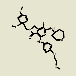 COCCOc1ccc(Nc2nc(NC3CCCNCC3)c(F)c3c2C(=O)N(Cc2ccc(OC)cc2OC)C3)cc1